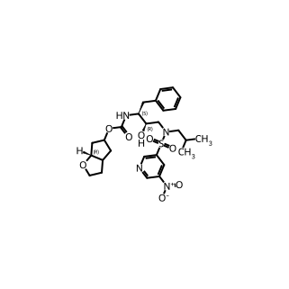 CC(C)CN(C[C@@H](O)[C@H](Cc1ccccc1)NC(=O)OC1CC2CCO[C@@H]2C1)S(=O)(=O)c1cncc([N+](=O)[O-])c1